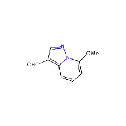 COc1cccc2c(C=O)cnn12